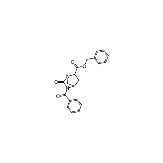 O=C(OCc1ccccc1)C1CC2CN1C(=O)N2C(=O)c1ccccc1